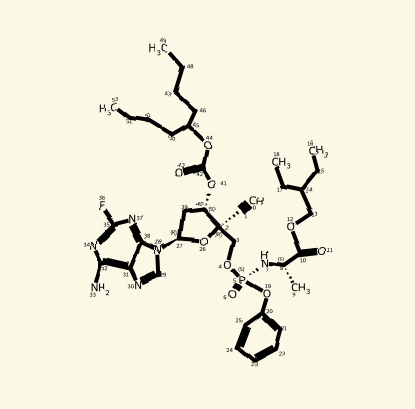 C#C[C@]1(CO[P@@](=O)(N[C@@H](C)C(=O)OCC(CC)CC)Oc2ccccc2)O[C@@H](n2cnc3c(N)nc(F)nc32)C[C@@H]1OC(=O)OC(CCCC)CCCC